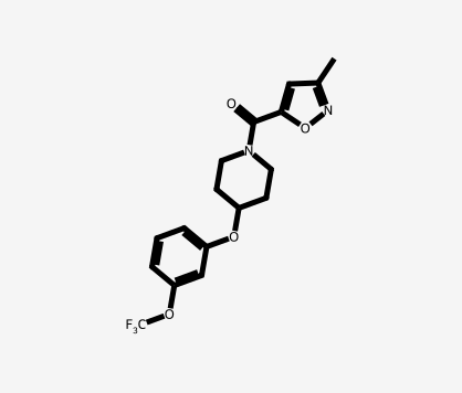 Cc1cc(C(=O)N2CCC(Oc3cccc(OC(F)(F)F)c3)CC2)on1